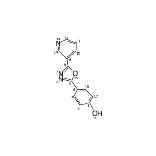 Oc1ccc(-c2nnc(-c3cccnc3)o2)cc1